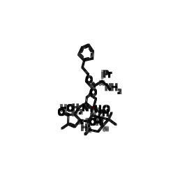 CC1=C[C@H]2[C@@]3(O)[C@H](C)C[C@]4(OC(=O)[C@H](N)CCCCCCc5ccccc5)[C@@H]([C@@H]3C=C(COC(=O)[C@@H](N)C(C)C)C[C@]2(O)C1=O)C4(C)C